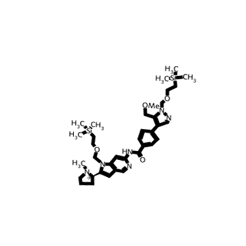 COCc1c(-c2ccc(C(=O)Nc3cc4c(cn3)cc([C@H]3CCCN3C)n4COCC[Si](C)(C)C)cc2)cnn1COCC[Si](C)(C)C